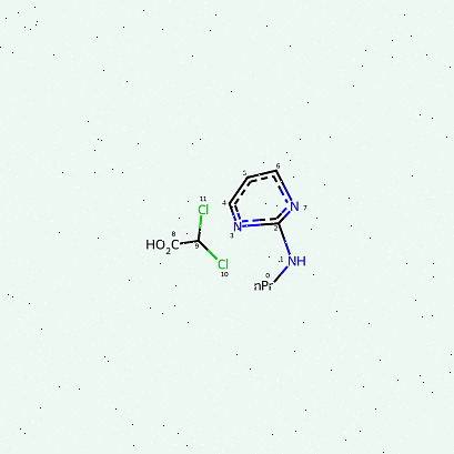 CCCNc1ncccn1.O=C(O)C(Cl)Cl